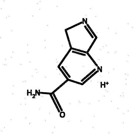 NC(=O)c1cnc2c(c1)CN=C2.[H+]